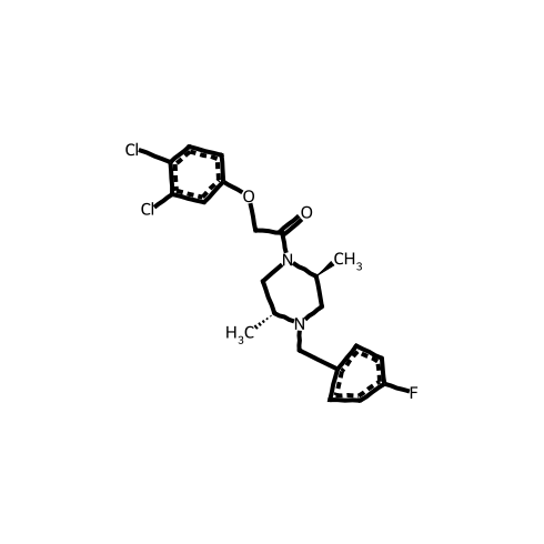 C[C@@H]1CN(C(=O)COc2ccc(Cl)c(Cl)c2)[C@@H](C)CN1Cc1ccc(F)cc1